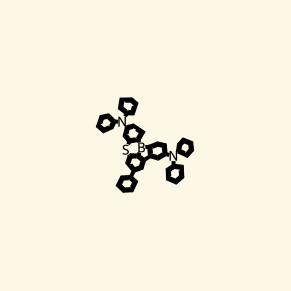 c1ccc(-c2cc3c4c(c2)-c2cc(N(c5ccccc5)c5ccccc5)ccc2B4c2ccc(N(c4ccccc4)c4ccccc4)cc2S3)cc1